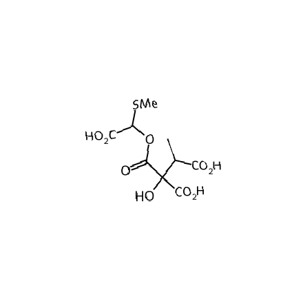 CSC(OC(=O)C(O)(C(=O)O)C(C)C(=O)O)C(=O)O